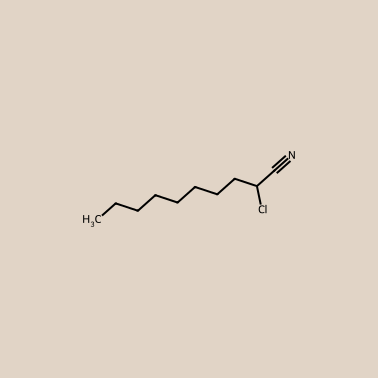 CCCCCCCCC(Cl)C#N